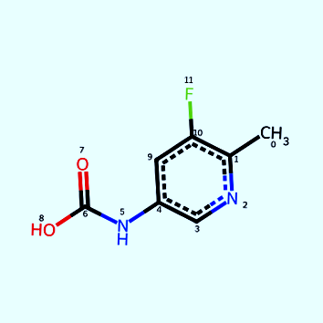 Cc1ncc(NC(=O)O)cc1F